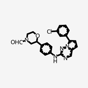 O=CN1CCOC(c2ccc(Nc3ncc4ccc(-c5cccc(Cl)c5)n4n3)cc2)C1